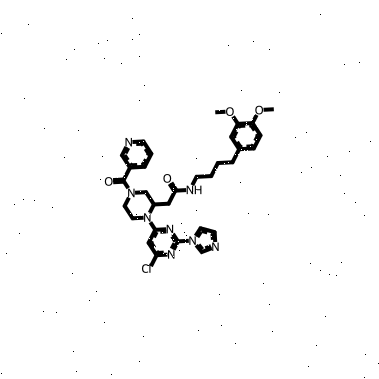 COc1ccc(CCCCNC(=O)CC2CN(C(=O)c3cccnc3)CCN2c2cc(Cl)nc(-n3ccnc3)n2)cc1OC